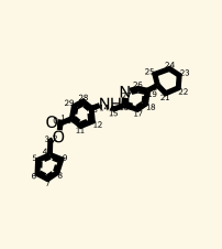 O=C(OCc1ccccc1)c1ccc(NCc2ccc(C3CCCCC3)cn2)cc1